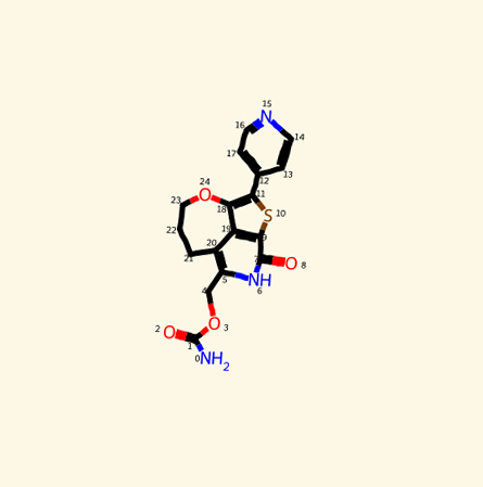 NC(=O)OCc1[nH]c(=O)c2sc(-c3ccncc3)c3c2c1CCCO3